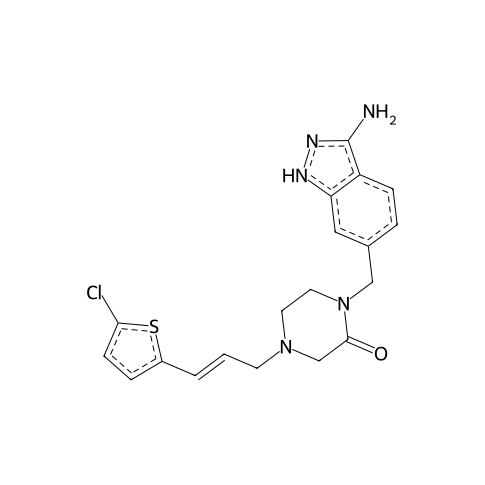 Nc1n[nH]c2cc(CN3CCN(C/C=C/c4ccc(Cl)s4)CC3=O)ccc12